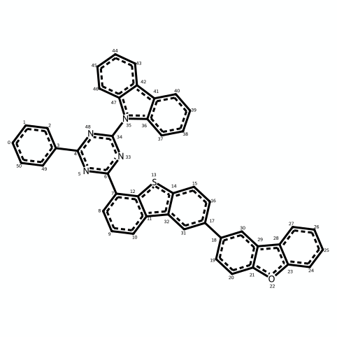 c1ccc(-c2nc(-c3cccc4c3sc3ccc(-c5ccc6oc7ccccc7c6c5)cc34)nc(-n3c4ccccc4c4ccccc43)n2)cc1